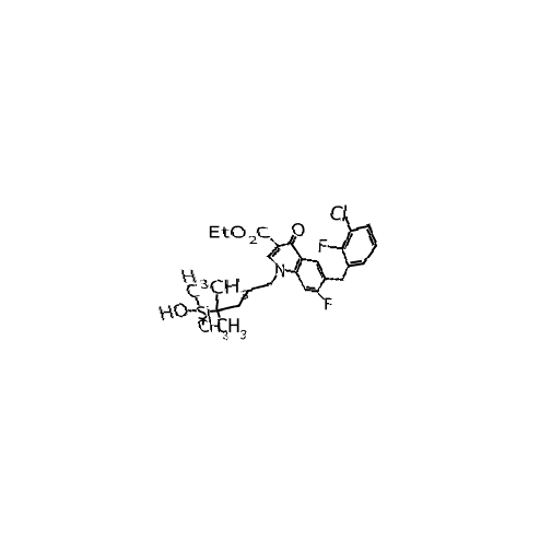 CCOC(=O)c1cn(CCCC(C)(C)[Si](C)(C)O)c2cc(F)c(Cc3cccc(Cl)c3F)cc2c1=O